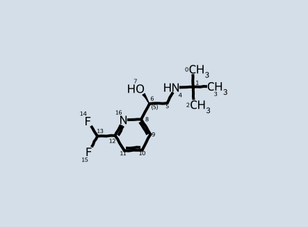 CC(C)(C)NC[C@H](O)c1cccc(C(F)F)n1